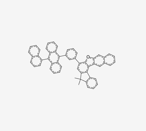 CC1(C)c2ccccc2-c2c1cc(-c1cccc(-c3c4ccccc4c(-c4cccc5ccccc45)c4ccccc34)c1)c1oc3cc4ccccc4cc3c21